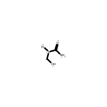 CCN(CO)C(N)=O